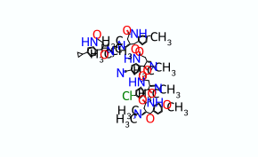 CCc1ccc2c(c1)NC(=O)CC(=CN(C)C)C2=O.CN(C)C=C1CC(=O)Nc2cc(C#N)ccc2C1=O.CN(C)C=C1CC(=O)Nc2cc(C3CC3)ccc2C1=O.CN(C)C=C1CC(=O)Nc2cc(Cl)ccc2C1=O.COc1ccc2c(c1)NC(=O)CC(=CN(C)C)C2=O